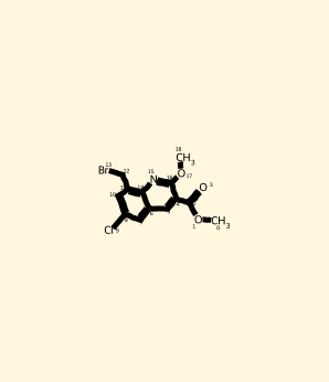 COC(=O)c1cc2cc(Cl)cc(CBr)c2nc1OC